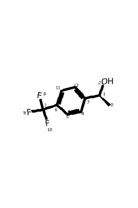 C[C@H](O)c1ccc(C(F)(F)F)cc1